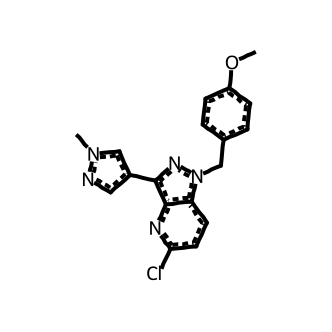 COc1ccc(Cn2nc(-c3cnn(C)c3)c3nc(Cl)ccc32)cc1